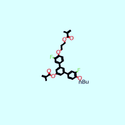 C=C(C)C(=O)OCCCOc1ccc(-c2cc(OC(=O)C(=C)C)cc(-c3ccc(OCCCC)c(F)c3)c2)cc1F